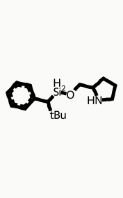 CC(C)(C)C([SiH2]OCC1CCCN1)c1ccccc1